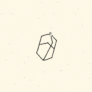 C1C2CC3CC1CP(C2)C3